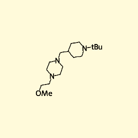 COCCN1CCN(CC2CCN(C(C)(C)C)CC2)CC1